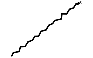 CCCCCCCCCCCCCCCCCCC[C]=S